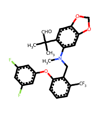 CN(Cc1c(Oc2cc(F)cc(F)c2)cccc1C(F)(F)F)c1cc2c(cc1C(C)(C)C=O)OCO2